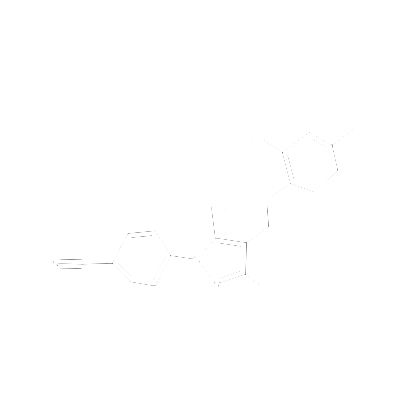 Cc1cc(Cl)ccc1OCc1c(C)nn(-c2ccc(C#N)cc2)c1C